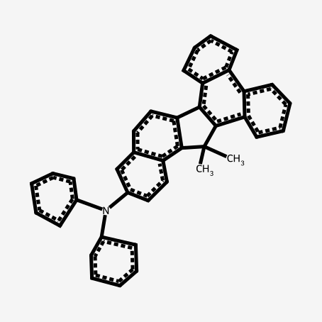 CC1(C)c2c(ccc3cc(N(c4ccccc4)c4ccccc4)ccc23)-c2c1c1ccccc1c1ccccc21